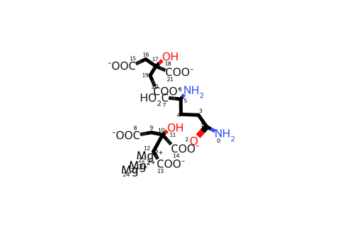 NC(=O)CCC(N)C(=O)O.O=C([O-])CC(O)(CC(=O)[O-])C(=O)[O-].O=C([O-])CC(O)(CC(=O)[O-])C(=O)[O-].[Mg+2].[Mg+2].[Mg+2]